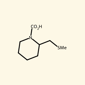 CSCC1CCCCN1C(=O)O